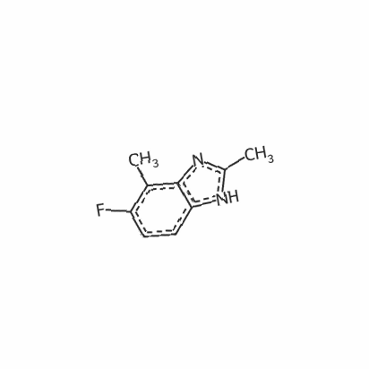 Cc1nc2c(C)c(F)ccc2[nH]1